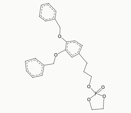 O=P1(OCCCc2ccc(OCc3ccccc3)c(OCc3ccccc3)c2)OCCO1